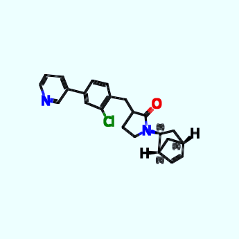 O=C1C(Cc2ccc(-c3cccnc3)cc2Cl)CCN1[C@H]1C[C@@H]2C=C[C@H]1C2